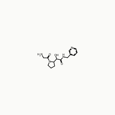 NCC(=O)N1CCCC1C(O)C(=O)NCc1cccnc1